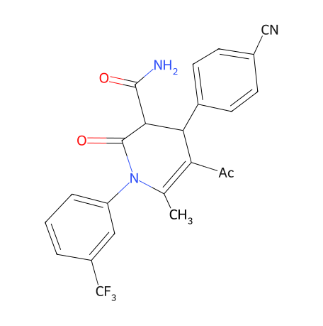 CC(=O)C1=C(C)N(c2cccc(C(F)(F)F)c2)C(=O)C(C(N)=O)C1c1ccc(C#N)cc1